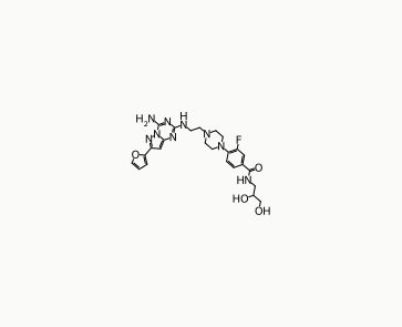 Nc1nc(NCCN2CCN(c3ccc(C(=O)NCC(O)CO)cc3F)CC2)nc2cc(-c3ccco3)nn12